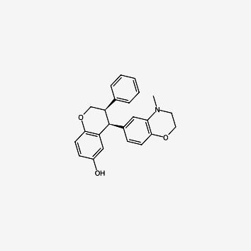 CN1CCOc2ccc([C@H]3c4cc(O)ccc4OC[C@H]3c3ccccc3)cc21